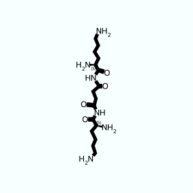 NCCCC[C@H](N)C(=O)NC(=O)CCC(=O)NC(=O)[C@@H](N)CCCCN